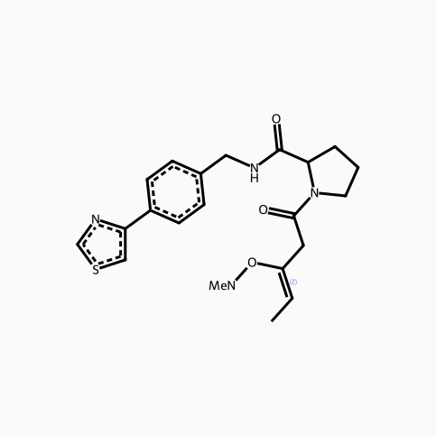 C/C=C(/CC(=O)N1CCCC1C(=O)NCc1ccc(-c2cscn2)cc1)ONC